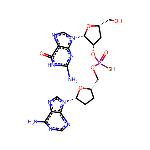 Nc1nc2c(ncn2[C@@H]2O[C@H](CO)C[C@@H]2OP(=O)(S)OC[C@@H]2CC[C@H](n3cnc4c(N)ncnc43)O2)c(=O)[nH]1